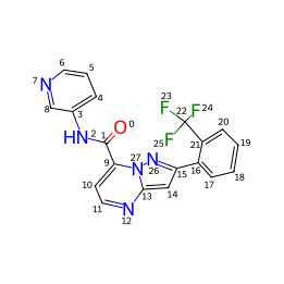 O=C(Nc1cccnc1)c1ccnc2cc(-c3ccccc3C(F)(F)F)nn12